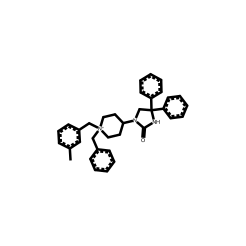 Cc1cccc(C[N+]2(Cc3ccccc3)CCC(N3CC(c4ccccc4)(c4ccccc4)NC3=O)CC2)c1